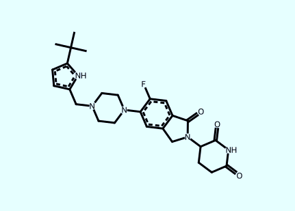 CC(C)(C)c1ccc(CN2CCN(c3cc4c(cc3F)C(=O)N(C3CCC(=O)NC3=O)C4)CC2)[nH]1